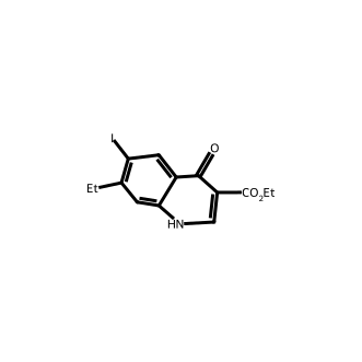 CCOC(=O)c1c[nH]c2cc(CC)c(I)cc2c1=O